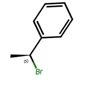 C[C@H](Br)c1ccccc1